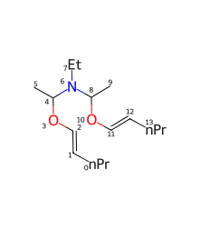 CCC/C=C/OC(C)N(CC)C(C)O/C=C/CCC